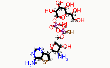 Nc1ncnc2c([C@@H]3O[C@H](COP(=O)(S)OP(=O)(O)OC4OC([C@@H](O)CO)C(O)C(O)C4O)[C@@H](O)[C@H]3N)csc12